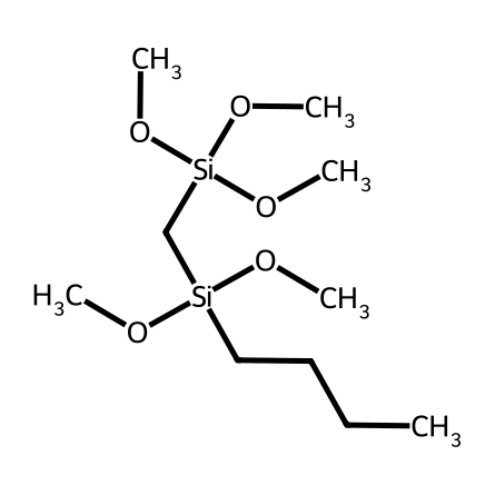 CCCC[Si](C[Si](OC)(OC)OC)(OC)OC